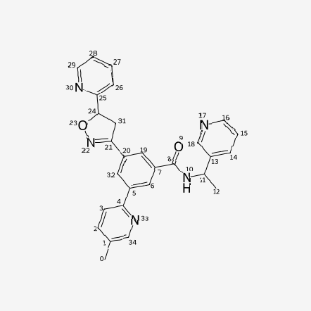 Cc1ccc(-c2cc(C(=O)NC(C)c3cccnc3)cc(C3=NOC(c4ccccn4)C3)c2)nc1